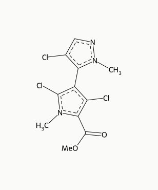 COC(=O)c1c(Cl)c(-c2c(Cl)cnn2C)c(Cl)n1C